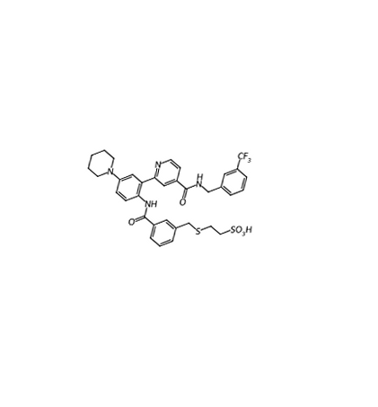 O=C(NCc1cccc(C(F)(F)F)c1)c1ccnc(-c2cc(N3CCCCC3)ccc2NC(=O)c2cccc(CSCCS(=O)(=O)O)c2)c1